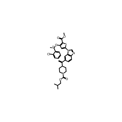 C=C(c1ccc2ncn(-c3cc(O[C@H](C)c4ccccc4Cl)c(C(=O)OC)s3)c2c1)C1CCN(C(=O)OCC(C)C)CC1